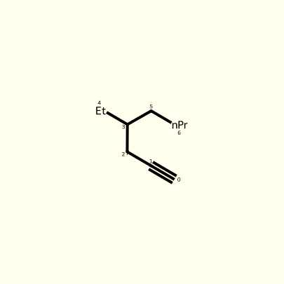 C#C[CH]C(CC)CCCC